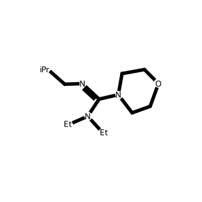 CCN(CC)/C(=N\CC(C)C)N1CCOCC1